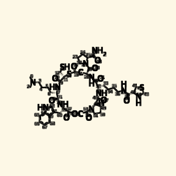 CN(C)CCCC[C@@H]1NC(=O)[C@H](CS)SC(=O)C[C@@H](C(=O)N2CCC[C@H]2C(N)=O)NC(=O)[C@H](CCCCNC(=O)[C@@H]2CSCN2)NC(=O)[C@@H]2CCCN2C(=O)COC(=O)[C@H](Cc2c[nH]c3ccccc23)NC1=O